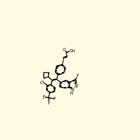 O=C(O)C=Cc1ccc(C(=C(c2ccc(C(F)(F)F)cc2Cl)C2CCC2)c2ccc3[nH]nc(F)c3c2)cc1